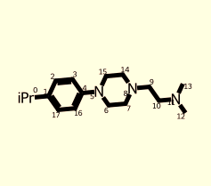 CC(C)c1ccc(N2CCN(CCN(C)C)CC2)cc1